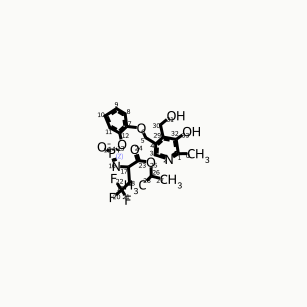 Cc1ncc(COc2ccccc2O/[P+]([O-])=N\C(CC(F)(F)F)C(=O)OC(C)C)c(CO)c1O